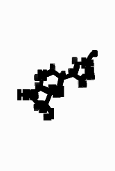 Cn1cc(-c2cnc3[nH]cc(I)c3n2)cn1